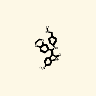 CCNCc1ccc(N/C(=C2\C(=O)Nc3cc([N+](=O)[O-])ccc32)c2ccc3c(c2)OCCO3)cc1